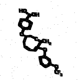 C=C1CC[C@@H](Oc2ccc(B(O)O)cc2)C/C=C\C=C/1Oc1cccc(OC(F)(F)F)c1